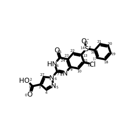 O=C(O)c1cnn(-c2nc3cc(Cl)c([S+]([O-])c4ccccc4)cc3c(=O)[nH]2)c1